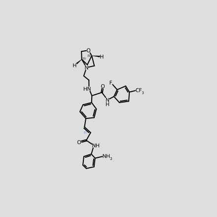 Nc1ccccc1NC(=O)/C=C/c1ccc(C(NCCN2C[C@@H]3C[C@H]2CO3)C(=O)Nc2ccc(C(F)(F)F)cc2F)cc1